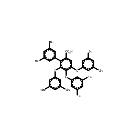 CC(C)(C)c1cc(Oc2cc(C(=O)O)c(-c3cc(C(C)(C)C)cc(C(C)(C)C)c3)c(Oc3cc(C(C)(C)C)cc(C(C)(C)C)c3)c2Oc2cc(C(C)(C)C)cc(C(C)(C)C)c2)cc(C(C)(C)C)c1